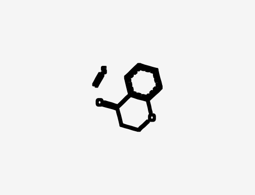 C=S.O=C1CCOc2ccccc21